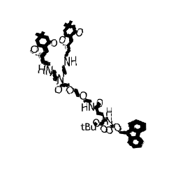 C[C@H](C=C1C(=O)CC(C)(C)CC1=O)CCNCCN(CCNCC[C@H](C)C=C1C(=O)CC(C)(C)CC1=O)C(=O)COCCOCCNC(=O)CC[C@@H](NC(=O)OCC1c2ccccc2-c2ccccc21)C(=O)OC(C)(C)C